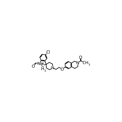 CC(=O)N1CCc2cc(OCCN3CCC(C)(c4cc(Cl)ccc4NC=O)CC3)ccc2C1